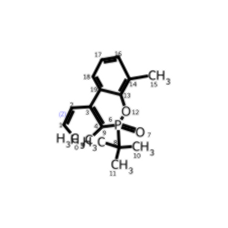 C/C=C\C1=C(C)P(=O)(C(C)(C)C)Oc2c(C)cccc21